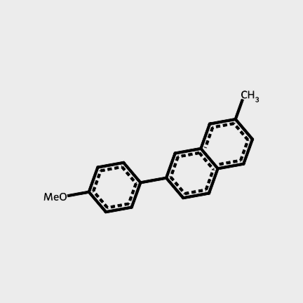 COc1ccc(-c2ccc3ccc(C)cc3c2)cc1